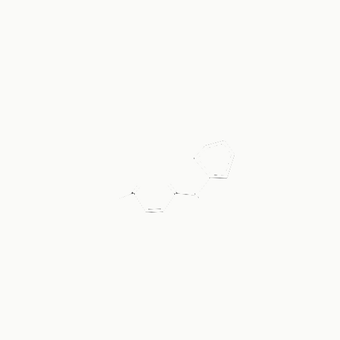 O=C(O)/C=C\C(=O)Nc1c[c]ccc1